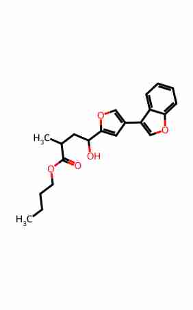 CCCCOC(=O)C(C)CC(O)c1cc(-c2coc3ccccc23)co1